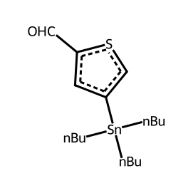 CCC[CH2][Sn]([CH2]CCC)([CH2]CCC)[c]1csc(C=O)c1